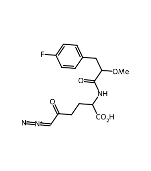 COC(Cc1ccc(F)cc1)C(=O)NC(CCC(=O)C=[N+]=[N-])C(=O)O